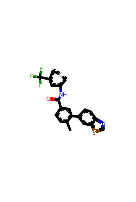 Cc1ccc(C(=O)Nc2cccc(C(F)(F)F)c2)cc1-c1ccc2ncsc2c1